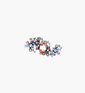 C=P1(C)OC[C@H]2O[C@@H](n3cnc4c(=O)[nH]c(C)nc43)C(C)[C@H]2OP(C)(=O)OC[C@H]2O[C@@H](n3cnc4c(=O)[nH]c(C)nc43)[C@@H](O[Si](C)(C)C(C)(C)C)C2O1